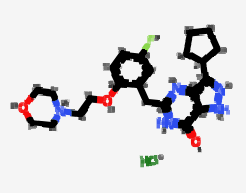 Cl.O=c1[nH]c(Cc2cc(F)ccc2OCCN2CCOCC2)nc2c(C3CCCC3)n[nH]c12